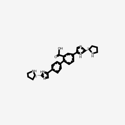 O=C(O)c1cc(-c2cnc([C@@H]3CCCN3)[nH]2)ccc1-c1ccc(-c2cnc([C@@H]3CCCN3)[nH]2)cc1